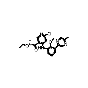 CCONC(=O)c1cnc(Cl)cc1Nc1cccc(-c2cnc(C)cn2)c1OC